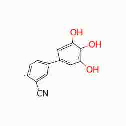 N#Cc1[c]ccc(-c2cc(O)c(O)c(O)c2)c1